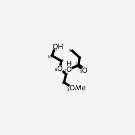 CCC(=O)O.COCCOCCO